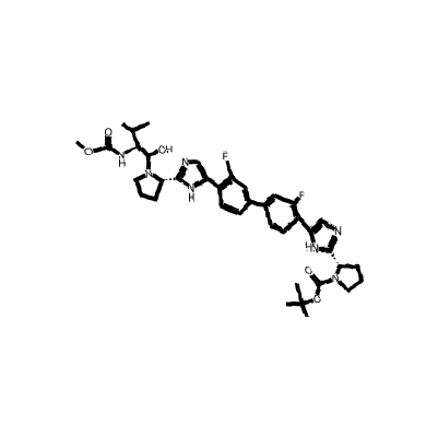 COC(=O)N[C@@H](C(C)C)C(O)N1CCC[C@H]1c1ncc(-c2ccc(-c3ccc(-c4cnc([C@@H]5CCCN5C(=O)OC(C)(C)C)[nH]4)c(F)c3)cc2F)[nH]1